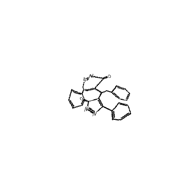 O=C1N=NC(c2ccccc2)=C1C(C1=C(c2ccccc2)N=NC1=O)c1ccccc1